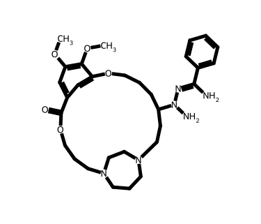 COc1cc2cc(c1OC)OCCCC(N(N)/N=C(\N)c1ccccc1)CCN1CCCN(CCCOC2=O)CC1